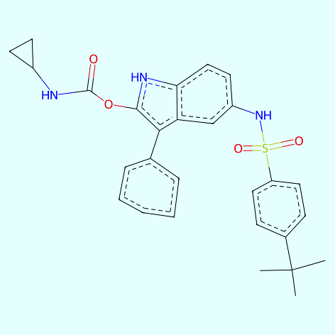 CC(C)(C)c1ccc(S(=O)(=O)Nc2ccc3[nH]c(OC(=O)NC4CC4)c(-c4ccccc4)c3c2)cc1